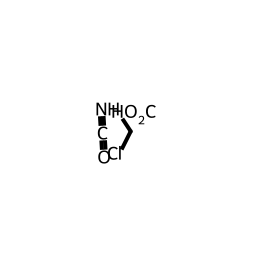 N=C=O.O=C(O)CCl